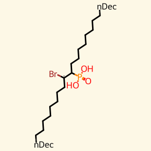 CCCCCCCCCCCCCCCCCC[C](Br)C(CCCCCCCCCCCCCCCCCC)P(=O)(O)O